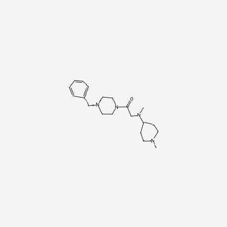 CN1CCC(N(C)CC(=O)N2CCN(Cc3ccccc3)CC2)CC1